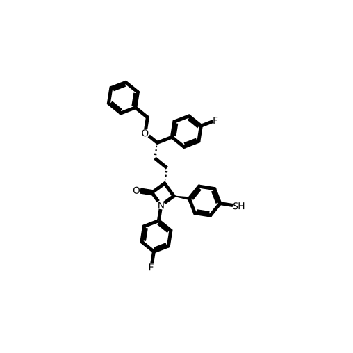 O=C1[C@H](CC[C@H](OCc2ccccc2)c2ccc(F)cc2)[C@@H](c2ccc(S)cc2)N1c1ccc(F)cc1